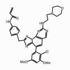 C=CC(=O)Nc1ccc(Cc2nc3c(-c4cc(OC)cc(OC)c4Cl)cc4cnc(NCCN5CCOCC5)nc4n3n2)cc1